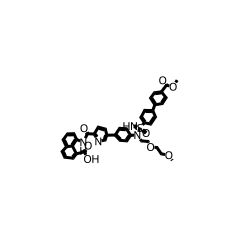 COCCOCCN(c1ccc(-c2ccc(C(=O)Nc3cccc4cccc(C(=O)O)c34)nc2)cc1)S(=N)(=O)c1ccc(-c2ccc(C(=O)OC)cc2)cc1